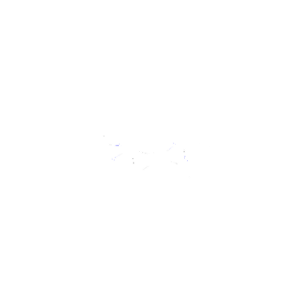 COc1nc(C)c(Cc2ccc(-c3noc(C(F)(F)F)n3)cc2)c(C)n1